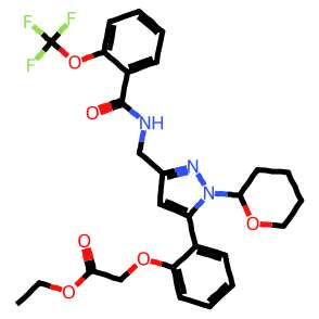 CCOC(=O)COc1ccccc1-c1cc(CNC(=O)c2ccccc2OC(F)(F)F)nn1C1CCCCO1